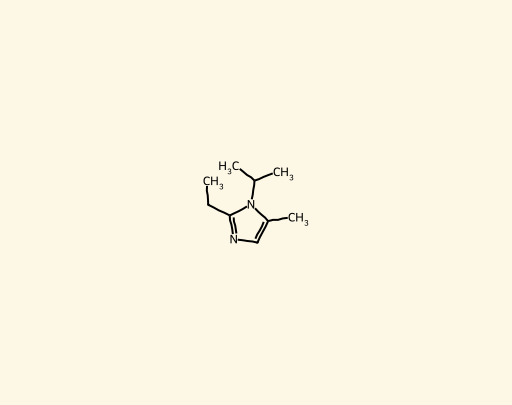 CCc1ncc(C)n1C(C)C